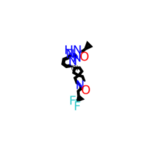 O=C(Nc1nc2cccc([C@@H]3CCC4(CCN(C(=O)CC5CC5(F)F)CC4)C3)n2n1)C1CC1